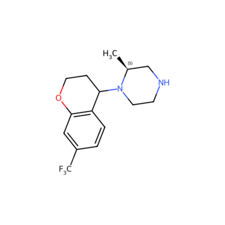 C[C@H]1CNCCN1C1CCOc2cc(C(F)(F)F)ccc21